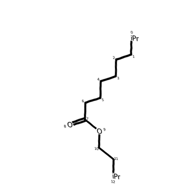 CC(C)CCCCCCC(=O)OCCC(C)C